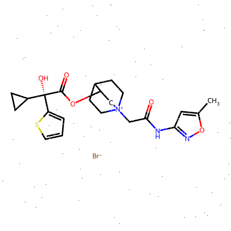 Cc1cc(NC(=O)C[N+]23CCC(CC2)C(OC(=O)[C@@](O)(c2cccs2)C2CC2)C3)no1.[Br-]